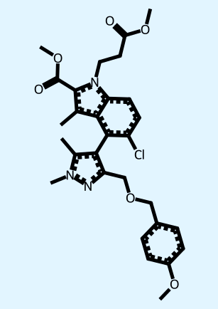 COC(=O)CCn1c(C(=O)OC)c(C)c2c(-c3c(COCc4ccc(OC)cc4)nn(C)c3C)c(Cl)ccc21